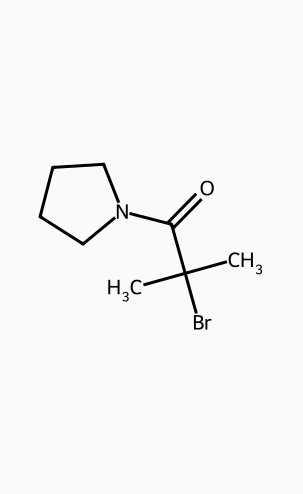 CC(C)(Br)C(=O)N1CCCC1